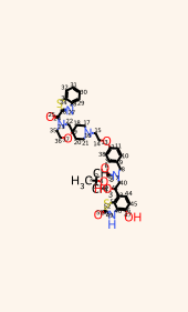 CC(C)(C)OC(=O)N(Cc1ccc(OCCN2CCC3(CC2)CN(C(=O)c2nc4ccccc4s2)CCO3)cc1)CC(O)c1ccc(O)c2[nH]c(=O)sc12